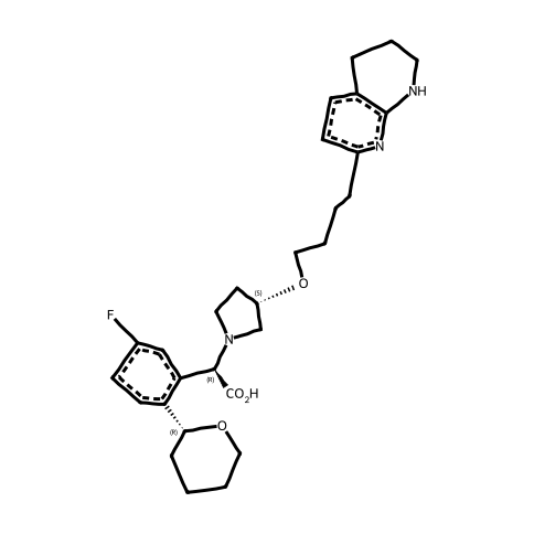 O=C(O)[C@@H](c1cc(F)ccc1[C@H]1CCCCO1)N1CC[C@H](OCCCCc2ccc3c(n2)NCCC3)C1